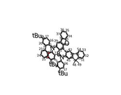 CC(C)(C)c1ccc(N2B3c4cc(C(C)(C)C)ccc4N(c4ccc(C(C)(C)C)cc4-c4ccccc4)c4cc5c(oc6ccccc65)c(c43)-c3cc4c(cc32)C(C)(C)c2ccccc2-4)cc1